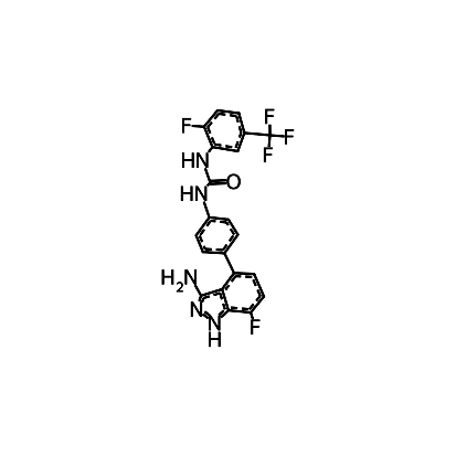 Nc1n[nH]c2c(F)ccc(-c3ccc(NC(=O)Nc4cc(C(F)(F)F)ccc4F)cc3)c12